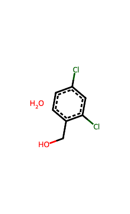 O.OCc1ccc(Cl)cc1Cl